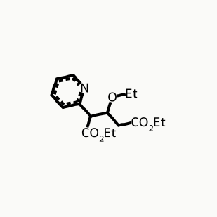 CCOC(=O)CC(OCC)C(C(=O)OCC)c1ccccn1